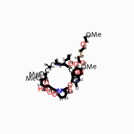 C=CC[C@@H]1/C=C(\C)C[C@H](C)C[C@H](OC)[C@H]2O[C@@](O)(C(=O)C(=O)N3CCCC[C@H]3C(=O)O[C@H](/C(C)=C\C3CC[C@@H](OC(=O)CSCCOCCOC)[C@H](OC)C3)[C@H](C)[C@@H](O)CC1=O)[C@H](C)C[C@@H]2OC